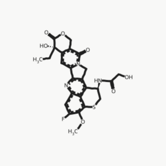 CC[C@@]1(O)C(=O)OCc2c1cc1n(c2=O)Cc2c-1nc1cc(F)c(OC)c3c1c2[C@@H](NC(=O)CO)CS3